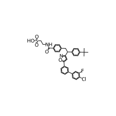 CC(C)(C)c1ccc(C(Cc2ccc(C(=O)NCCS(=O)(=O)O)cc2)c2cc(-c3cccc(-c4ccc(Cl)c(F)c4)c3)on2)cc1